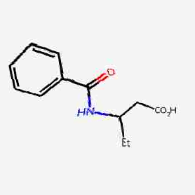 CCC(CC(=O)O)NC(=O)c1ccccc1